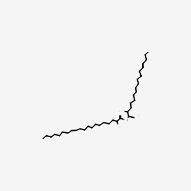 CCCCCCCCCCCCCCCCCCC(O)C(=O)NC(CO)C(O)CCCCCCCCCCCCCCC